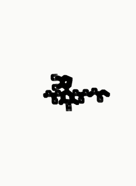 CCC(=O)OCOC(=O)OC1=C(C)NC(C)=C(OC(=O)OC)C1c1cccc(Cl)c1Cl